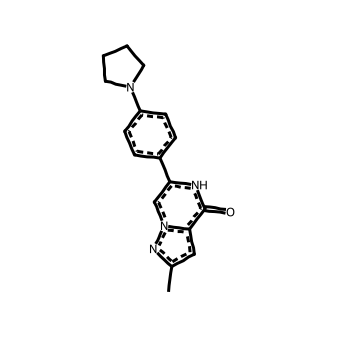 Cc1cc2c(=O)[nH]c(-c3ccc(N4CCCC4)cc3)cn2n1